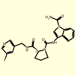 NC(=O)n1cc(NC(=O)N2CCC[C@H]2C(=O)NCc2cncc(F)c2)c2ccccc21